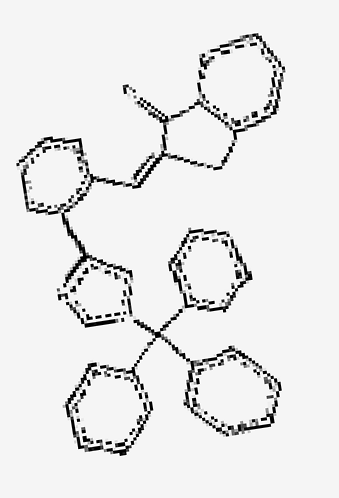 O=C1C(=Cc2ccccc2-c2cn(C(c3ccccc3)(c3ccccc3)c3ccccc3)cn2)Cc2ccccc21